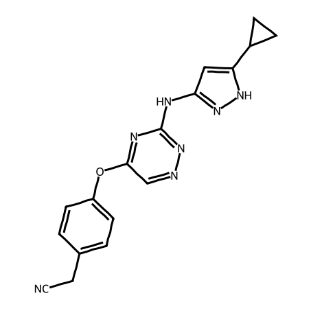 N#CCc1ccc(Oc2cnnc(Nc3cc(C4CC4)[nH]n3)n2)cc1